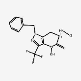 O=C1[C@@H](NCl)Cc2c(c(C(F)(F)F)nn2Cc2ccccc2)N1O